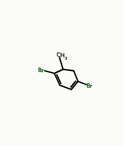 CC1CC(Br)=CC=C1Br